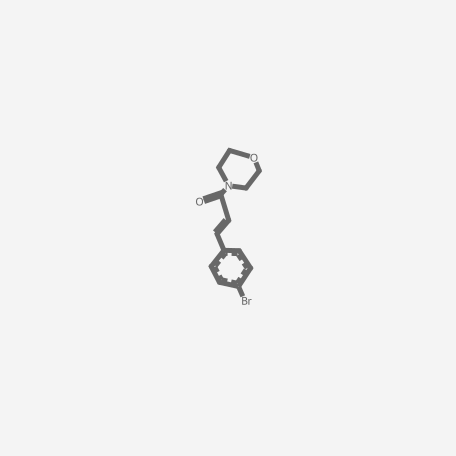 O=C(C=Cc1ccc(Br)cc1)N1CCOCC1